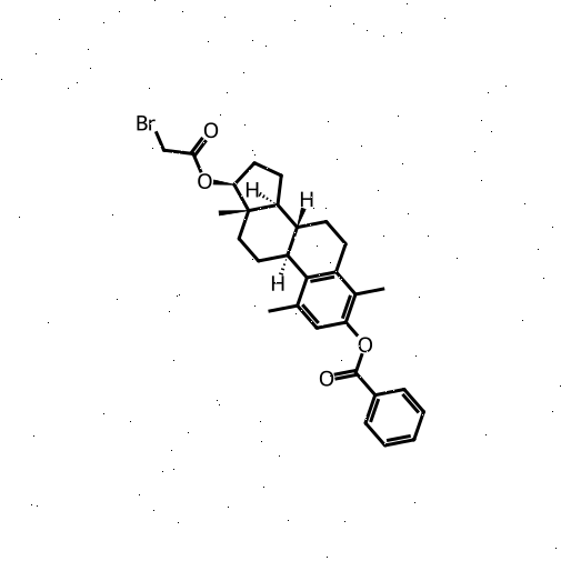 Cc1cc(OC(=O)c2ccccc2)c(C)c2c1[C@H]1CC[C@]3(C)[C@@H](OC(=O)CBr)CC[C@H]3[C@@H]1CC2